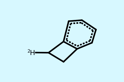 [2H]C1Cc2ccccc21